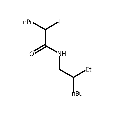 CCCCC(CC)CNC(=O)C(I)CCC